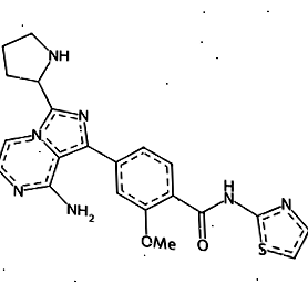 COc1cc(-c2nc(C3CCCN3)n3ccnc(N)c23)ccc1C(=O)Nc1nccs1